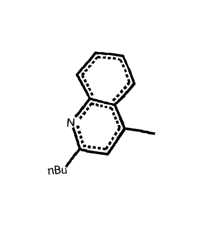 CCCCc1cc(C)c2ccccc2n1